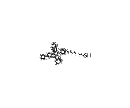 SCCCCCCCCCCc1ccc(-c2c3cc4ccccc4cc3c(-c3ccc(-c4ccccc4)cc3)c3cc4ccccc4cc23)cc1